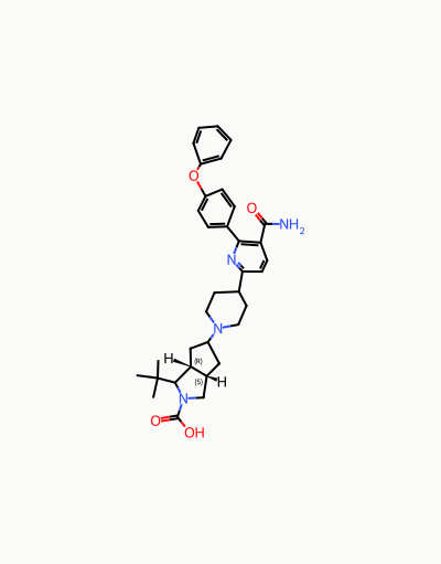 CC(C)(C)C1[C@@H]2CC(N3CCC(c4ccc(C(N)=O)c(-c5ccc(Oc6ccccc6)cc5)n4)CC3)C[C@@H]2CN1C(=O)O